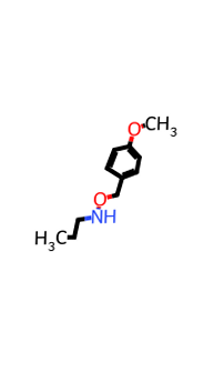 CCCNOCc1ccc(OC)cc1